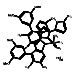 COc1cc(OC)cc(-c2c(C)c(C)cc3c2C=C(c2ccc(C)o2)[CH]3[Zr]([CH3])([CH3])(=[SiH2])[CH]2C(c3ccc(C)o3)=Cc3c2cc(C)c(C)c3-c2cc(OC)cc(OC)c2)c1.Cl.Cl